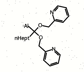 CCCCCCC[C]([Al])(OCc1ccccn1)OCc1ccccn1